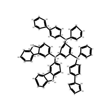 c1ccc(-c2ccc(N(c3ccccc3)c3cc(N(c4ccccc4)c4ccc(-c5ccccc5)cc4)cc(N(c4ccc5oc6ccccc6c5c4)c4ccc5sc6ccccc6c5c4)c3)cc2)cc1